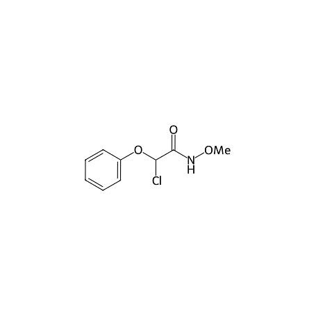 CONC(=O)C(Cl)Oc1ccccc1